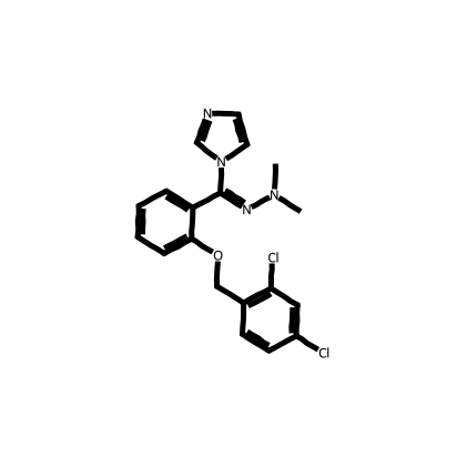 CN(C)N=C(c1ccccc1OCc1ccc(Cl)cc1Cl)n1ccnc1